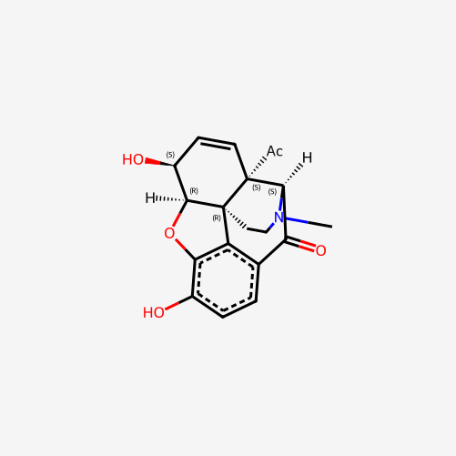 CC(=O)[C@@]12C=C[C@H](O)[C@@H]3Oc4c(O)ccc5c4[C@@]31CCN(C)[C@@H]2C5=O